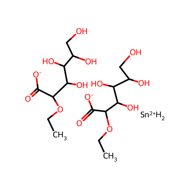 CCOC(C(=O)[O-])C(O)C(O)C(O)CO.CCOC(C(=O)[O-])C(O)C(O)C(O)CO.[SnH2+2]